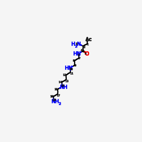 CC(=O)C[C@H](N)C(=O)NCCCNCCCCNCCCN